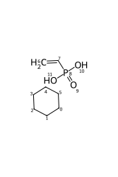 C1CCCCC1.C=CP(=O)(O)O